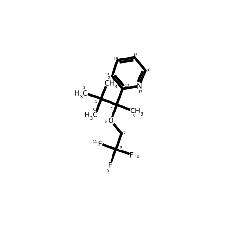 CC(C)(C)C(C)(OCC(F)(F)F)c1ccccn1